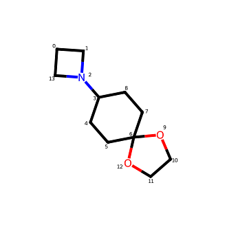 C1CN(C2CCC3(CC2)OCCO3)C1